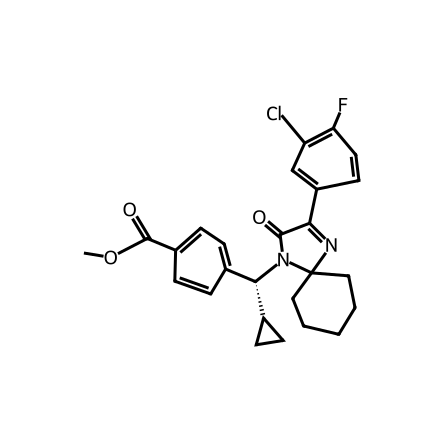 COC(=O)c1ccc([C@@H](C2CC2)N2C(=O)C(c3ccc(F)c(Cl)c3)=NC23CCCCC3)cc1